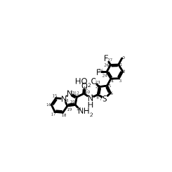 Cc1ccc(-c2csc(NC(=O)c3nn4ccccc4c3N)c2C(=O)O)c(F)c1F